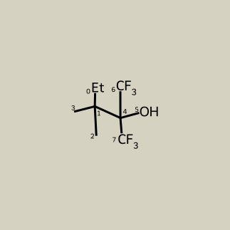 CCC(C)(C)C(O)(C(F)(F)F)C(F)(F)F